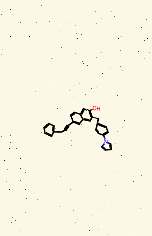 Oc1cc2ccc(C#CCc3ccccc3)cc2cc1Cc1ccc(-n2cccc2)cc1